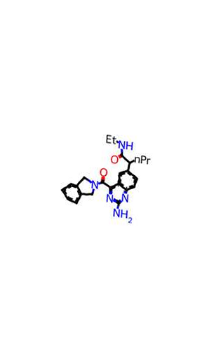 CCCC(C(=O)NCC)c1ccc2nc(N)nc(C(=O)N3Cc4ccccc4C3)c2c1